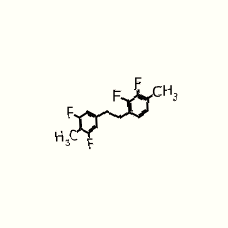 Cc1ccc(CCc2cc(F)c(C)c(F)c2)c(F)c1F